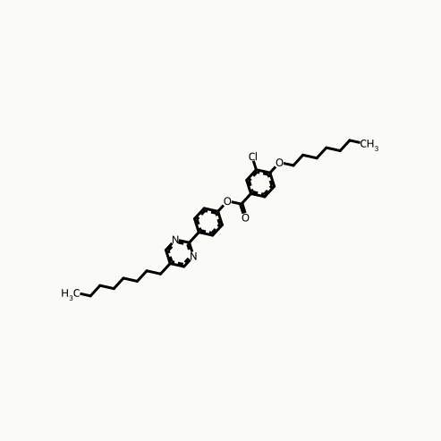 CCCCCCCCc1cnc(-c2ccc(OC(=O)c3ccc(OCCCCCCC)c(Cl)c3)cc2)nc1